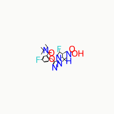 CCN(C(=O)c1cc(F)ccc1Oc1cncnc1N1C[C@@H](F)[C@@H](CNC(=O)O)C1C(C)(C)C)C(C)C